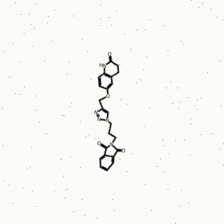 O=C1CCc2cc(OCc3cn(CCCN4C(=O)c5ccccc5C4=O)nn3)ccc2N1